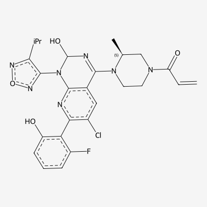 C=CC(=O)N1CCN(C2=NC(O)N(c3nonc3C(C)C)c3nc(-c4c(O)cccc4F)c(Cl)cc32)[C@@H](C)C1